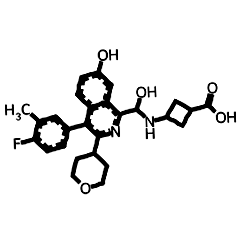 Cc1cc(-c2c(C3CCOCC3)nc(C(O)NC3CC(C(=O)O)C3)c3cc(O)ccc23)ccc1F